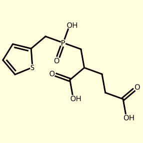 O=C(O)CCC(CP(=O)(O)Cc1cccs1)C(=O)O